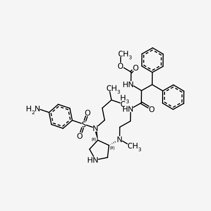 COC(=O)NC(C(=O)NCCN(C)[C@@H]1CNC[C@H]1N(CCC(C)C)S(=O)(=O)c1ccc(N)cc1)C(c1ccccc1)c1ccccc1